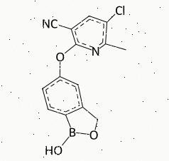 Cc1nc(Oc2ccc3c(c2)COB3O)c(C#N)cc1Cl